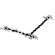 CC(C)(C)COCCOCCNC(=O)COCCOCCNC(=O)CC[C@H](NC(=O)CCCCCCCCCCCCCCCCC(=O)OC(C)(C)C)C(=O)OC(C)(C)C